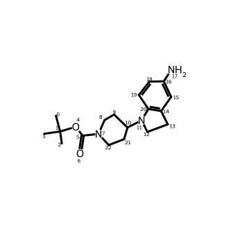 CC(C)(C)OC(=O)N1CCC(N2CCc3cc(N)ccc32)CC1